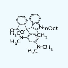 CCCCCCCCn1c(C)c(C2(c3ccc(N(C)C)cc3N(C)C)OC(=O)c3ccccc32)c2ccccc21